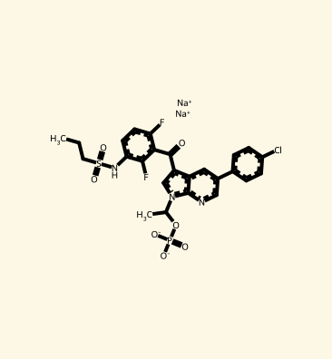 CCCS(=O)(=O)Nc1ccc(F)c(C(=O)c2cn(C(C)OP(=O)([O-])[O-])c3ncc(-c4ccc(Cl)cc4)cc23)c1F.[Na+].[Na+]